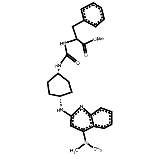 COC(=O)C(Cc1ccccc1)NC(=O)N[C@H]1CC[C@@H](Nc2cc(N(C)C)c3ccccc3n2)CC1